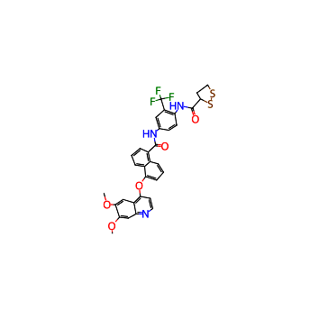 COc1cc2nccc(Oc3cccc4c(C(=O)Nc5ccc(NC(=O)C6CCSS6)c(C(F)(F)F)c5)cccc34)c2cc1OC